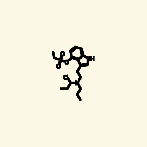 CCCN(CCc1c[nH]c2cccc(OS(=O)(=O)CC)c12)C(Cl)CC